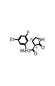 CCc1cc(F)c([C@@H]2CNC(=O)[C@H]2C(=O)OC)c(F)c1